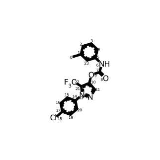 Cc1cccc(NC(=O)Oc2cnn(-c3ccc(Cl)cc3)c2C(F)(F)F)c1